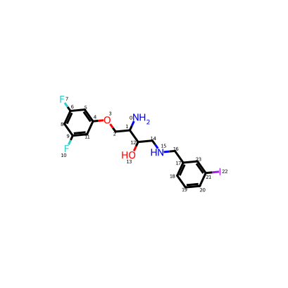 NC(COc1cc(F)cc(F)c1)C(O)CNCc1cccc(I)c1